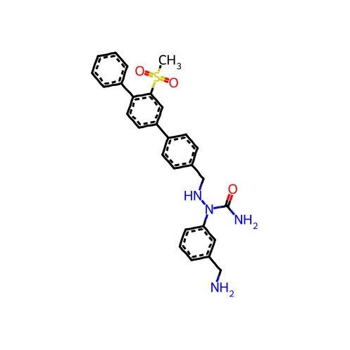 CS(=O)(=O)c1cc(-c2ccc(CNN(C(N)=O)c3cccc(CN)c3)cc2)ccc1-c1ccccc1